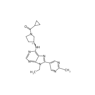 CCn1c(-c2cnc(C)nc2)nc2c(N[C@H]3CCN(C(=O)C4CC4)C3)ncnc21